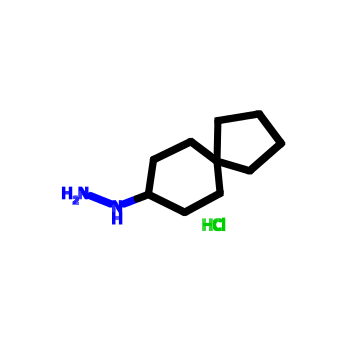 Cl.NNC1CCC2(CCCC2)CC1